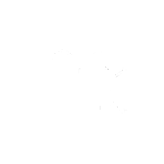 Cc1ccc(CC2CCN(C(=O)[C@H]3C[C@@](C)(O)C3)CC2)c(F)c1